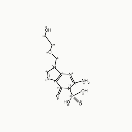 Nc1nc2c(ncn2COCCO)c(=O)n1P(=O)(O)O